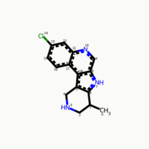 CC1CNCc2c1[nH]c1cnc3cc(Cl)ccc3c21